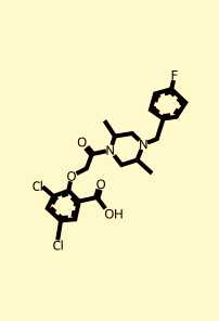 CC1CN(C(=O)COc2c(Cl)cc(Cl)cc2C(=O)O)C(C)CN1Cc1ccc(F)cc1